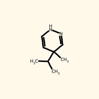 CC(C)C1(C)C=CNN=C1